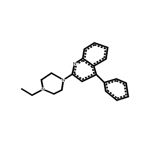 CCN1CCN(c2cc(-c3ccccc3)c3ccccc3n2)CC1